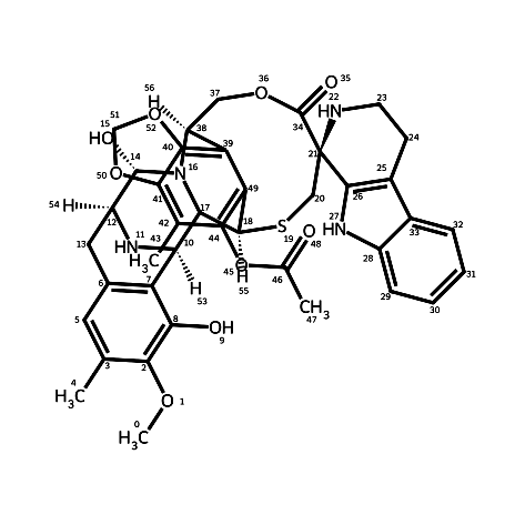 COc1c(C)cc2c(c1O)[C@H]1N[C@@H](C2)[C@H](O)N2C1[C@@H]1SC[C@]3(NCCc4c3[nH]c3ccccc43)C(=O)OC[C@H]2c2c3c(c(C)c(OC(C)=O)c21)OCO3